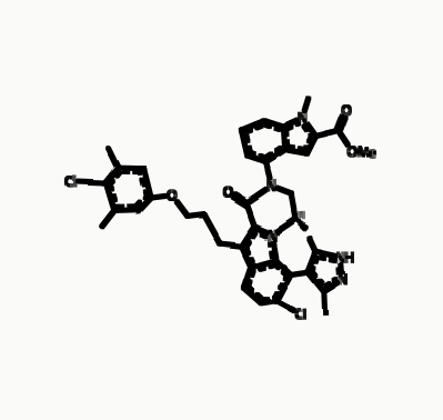 COC(=O)c1cc2c(N3C[C@@H](C)n4c(c(CCCOc5cc(C)c(Cl)c(C)c5)c5ccc(Cl)c(-c6c(C)n[nH]c6C)c54)C3=O)cccc2n1C